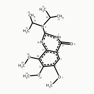 COc1cc2c(=O)[nH]c(N(C(C)C)C(C)C)nc2c(OC)c1OC